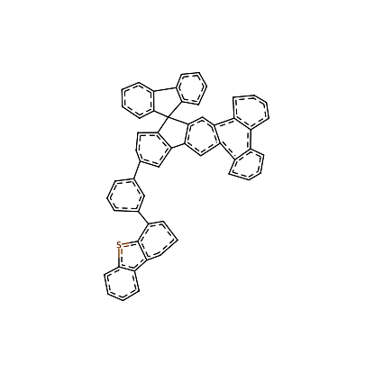 c1cc(-c2ccc3c(c2)-c2cc4c5ccccc5c5ccccc5c4cc2C32c3ccccc3-c3ccccc32)cc(-c2cccc3c2sc2ccccc23)c1